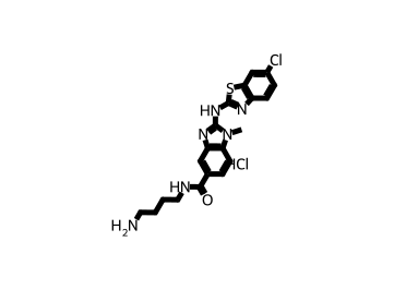 Cl.Cn1c(Nc2nc3ccc(Cl)cc3s2)nc2cc(C(=O)NCCCCN)ccc21